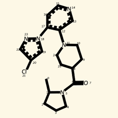 CC1CCCN1C(=O)C1CCN(c2cnccc2-n2cc(Cl)cn2)CC1